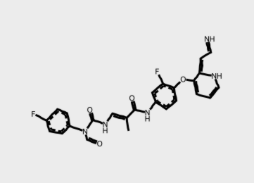 C/C(=C\NC(=O)N(C=O)c1ccc(F)cc1)C(=O)Nc1ccc(OC2=CC=CN/C2=C\C=N)c(F)c1